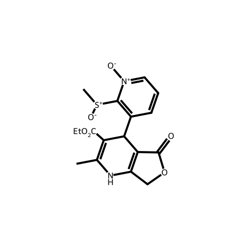 CCOC(=O)C1=C(C)NC2=C(C(=O)OC2)C1c1ccc[n+]([O-])c1[S+](C)[O-]